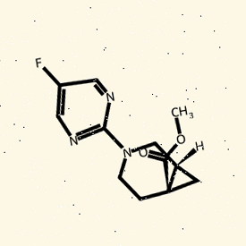 COC(=O)[C@@]12CCN(c3ncc(F)cn3)C[C@@H]1C2